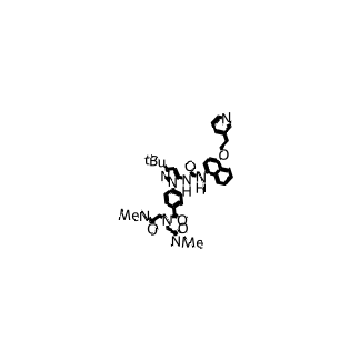 CNC(=O)CN(CC(=O)NC)C(=O)c1ccc(-n2nc(C(C)(C)C)cc2NC(=O)Nc2ccc(OCCc3cccnc3)c3ccccc23)cc1